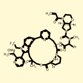 C=CC(=O)N1CCO[C@H]2CN(C(=O)N(C)C(C(=O)N[C@H]3Cc4cccc(n4)-c4ccc5c(c4)c(c(-c4cccnc4[C@H](C)OC)n5CC(F)(F)F)CC(C)(C)COC(=O)[C@@H]4CCCN(N4)C3=O)C(C)C)C[C@H]21